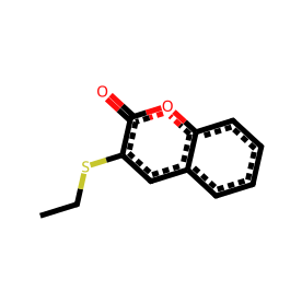 CCSc1cc2ccccc2oc1=O